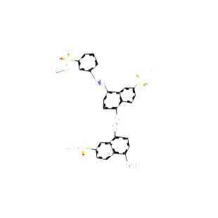 Nc1ccc(/N=N/c2ccc(/N=N/c3cccc(S(=O)(=O)OI)c3)c3cc(S(=O)(=O)O)ccc23)c2cc(S(=O)(=O)O)ccc12